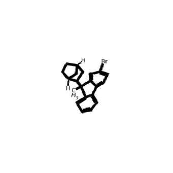 CC1(C2C[C@H]3CC[C@@H]2C3)c2ccccc2-c2ccc(Br)cc21